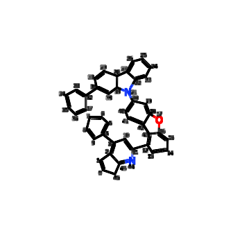 C1=Cc2c(-c3ccccc3)cc(-c3cccc4oc5cc(N6c7ccccc7C7C=CC(c8ccccc8)=CC76)ccc5c34)nc2C1